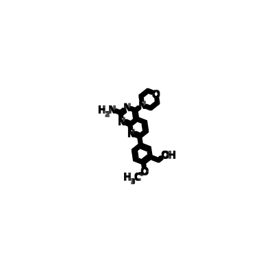 COc1ccc(-c2ccc3c(N4CCOCC4)nc(N)nc3n2)cc1CO